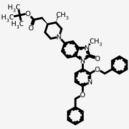 C[C@@H]1CN(c2ccc3c(c2)n(C)c(=O)n3-c2ccc(OCc3ccccc3)nc2OCc2ccccc2)CC[C@H]1CC(=O)OC(C)(C)C